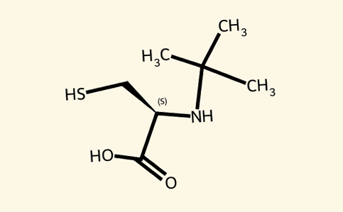 CC(C)(C)N[C@H](CS)C(=O)O